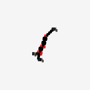 CCC#CC(=O)C(C)OC(=O)c1ccc(OC(=O)c2ccc(-c3ccc(OCCCCCCCC)cc3)cc2)cc1